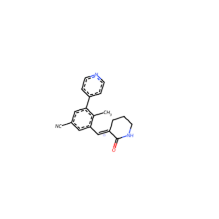 Cc1c(/C=C2\CCCNC2=O)cc(C#N)cc1-c1ccncc1